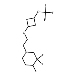 CC1CCN(CCOC2CC(OC(F)(F)F)C2)CC1(F)F